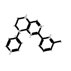 Cc1cccc(-c2ncc3c(n2)N(c2ccncc2)CCO3)n1